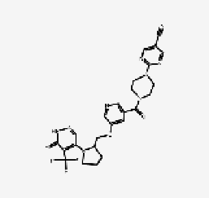 N#Cc1cnc(N2CCN(C(=O)c3cncc(OCC4CCCN4c4cn[nH]c(=O)c4C(F)(F)F)c3)CC2)nc1